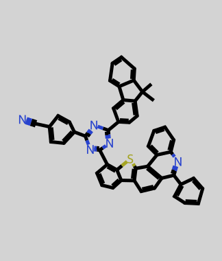 CC1(C)c2ccccc2-c2cc(-c3nc(-c4ccc(C#N)cc4)nc(-c4cccc5c4sc4c5ccc5c(-c6ccccc6)nc6ccccc6c54)n3)ccc21